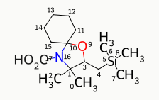 CC1(C)C(C[Si](C)(C)C)OC2(CCCCC2)N1C(=O)O